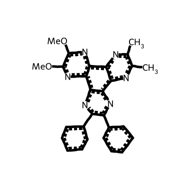 COc1nc2c3nc(C)c(C)nc3c3nc(-c4ccccc4)c(-c4ccccc4)nc3c2nc1OC